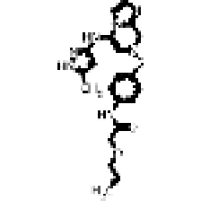 C=CCOCC(=O)Nc1ccc(SN2C=C(Nc3cc(C)[nH]n3)[N+]3C=CN=C3C2)cc1